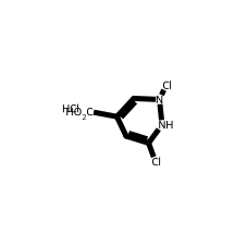 Cl.O=C(O)C1=CN(Cl)NC(Cl)=C1